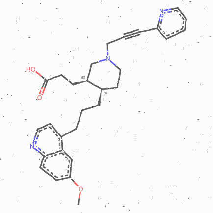 COc1ccc2nccc(CCC[C@@H]3CCN(CC#Cc4ccccn4)C[C@@H]3CCC(=O)O)c2c1